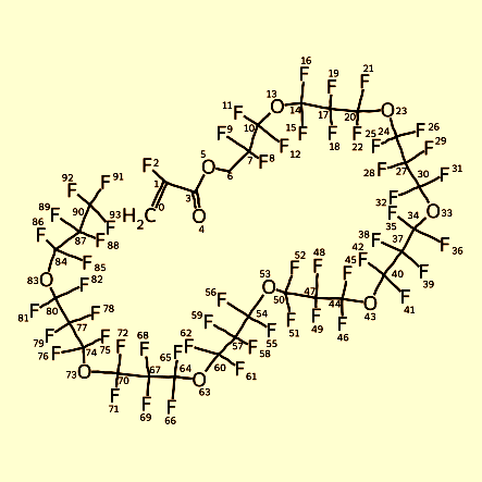 C=C(F)C(=O)OCC(F)(F)C(F)(F)OC(F)(F)C(F)(F)C(F)(F)OC(F)(F)C(F)(F)C(F)(F)OC(F)(F)C(F)(F)C(F)(F)OC(F)(F)C(F)(F)C(F)(F)OC(F)(F)C(F)(F)C(F)(F)OC(F)(F)C(F)(F)C(F)(F)OC(F)(F)C(F)(F)C(F)(F)OC(F)(F)C(F)(F)C(F)(F)F